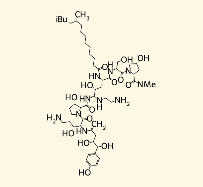 C=C(C[C@H](O)[C@@H](O)c1ccc(O)cc1)N[C@H](C(=O)N1CC[C@H](O)[C@H]1C(=O)N[C@H](NCCN)[C@H](O)C[C@H](NC(=O)CCCCCCCC[C@@H](C)C[C@@H](C)CC)C(=O)N[C@@H](CO)C(=O)N1C[C@H](O)C[C@H]1C(=O)NC)[C@H](O)CCN